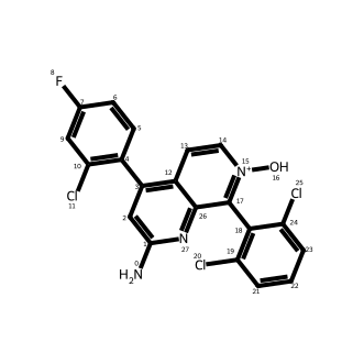 Nc1cc(-c2ccc(F)cc2Cl)c2cc[n+](O)c(-c3c(Cl)cccc3Cl)c2n1